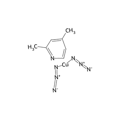 Cc1ccnc(C)c1.[N-]=[N+]=[N][Cu][N]=[N+]=[N-]